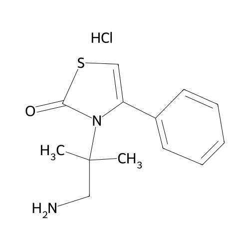 CC(C)(CN)n1c(-c2ccccc2)csc1=O.Cl